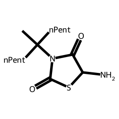 CCCCCC(C)(CCCCC)N1C(=O)SC(N)C1=O